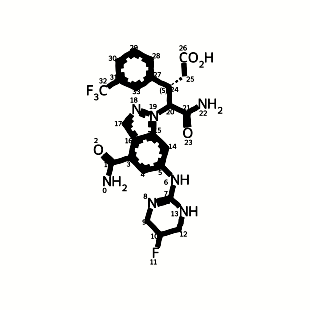 NC(=O)c1cc(NC2=NCC(F)CN2)cc2c1cnn2C(C(N)=O)[C@@H](CC(=O)O)c1cccc(C(F)(F)F)c1